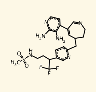 CS(=O)(=O)NCCC(c1ccc(CC2C=C(c3ccnc(N)c3N)C=NCC2)nc1)C(F)(F)F